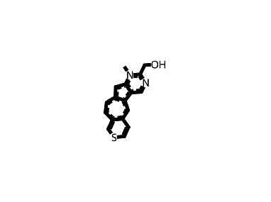 Cn1c(CO)ncc2c3cc4c(ccc3cc21)=CSC=C4